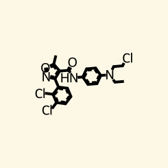 CCN(CCCl)c1ccc(NC(=O)c2c(-c3cccc(Cl)c3Cl)noc2C)cc1